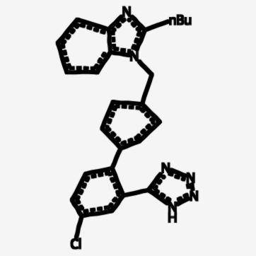 CCCCc1nc2ccccc2n1Cc1ccc(-c2ccc(Cl)cc2-c2nnn[nH]2)cc1